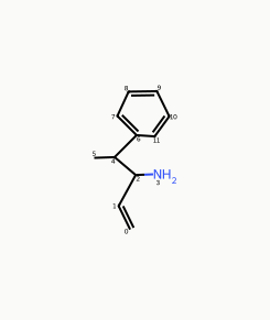 C=CC(N)C(C)c1ccccc1